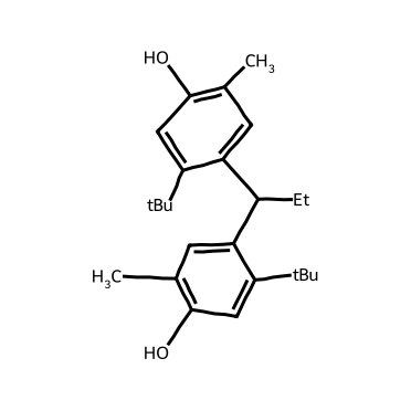 CCC(c1cc(C)c(O)cc1C(C)(C)C)c1cc(C)c(O)cc1C(C)(C)C